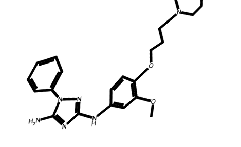 COc1cc(Nc2nc(N)n(-c3ccccc3)n2)ccc1OCCCN1CCCCC1